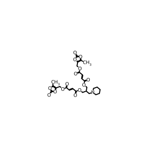 Cc1oc(=O)oc1COC(=O)/C=C/C(=O)OCC(COC(=O)/C=C/C(=O)OCc1oc(=O)oc1C)CN1CCCCC1